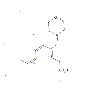 C\C=C/C=C\C(=C\CC(=O)O)CN1CCOCC1